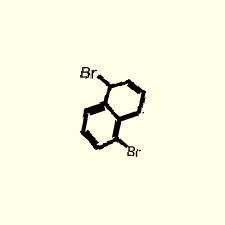 Brc1cccc2c1[CH]C=CC2Br